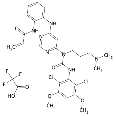 C=CC(=O)Nc1ccccc1Nc1cc(N(CCCN(C)C)C(=O)Nc2c(Cl)c(OC)cc(OC)c2Cl)ncn1.O=C(O)C(F)(F)F